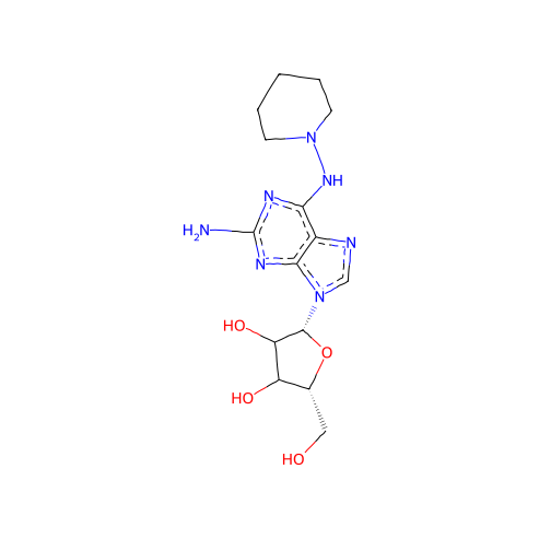 Nc1nc(NN2CCCCC2)c2ncn([C@@H]3O[C@H](CO)C(O)C3O)c2n1